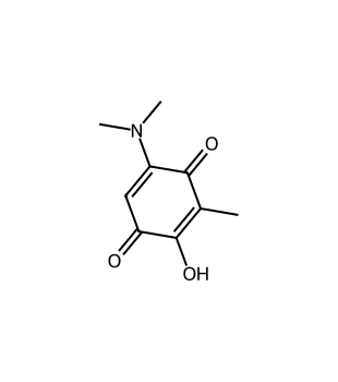 CC1=C(O)C(=O)C=C(N(C)C)C1=O